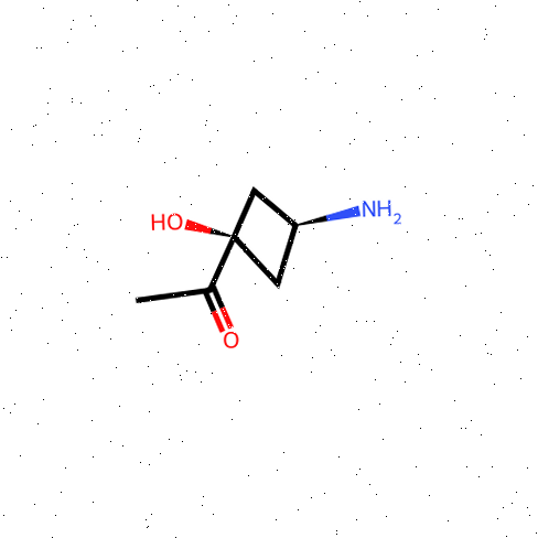 CC(=O)[C@]1(O)C[C@@H](N)C1